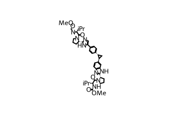 COO/C=N\[C@H](C(=O)N1CCC[C@H]1c1ncc(-c2ccc([C@@H]3C[C@H]3c3ccc4nc([C@@H]5CCCN5C(=O)[C@@H](NC(=O)OC)C(C)C)[nH]c4c3)cc2)[nH]1)C(C)C